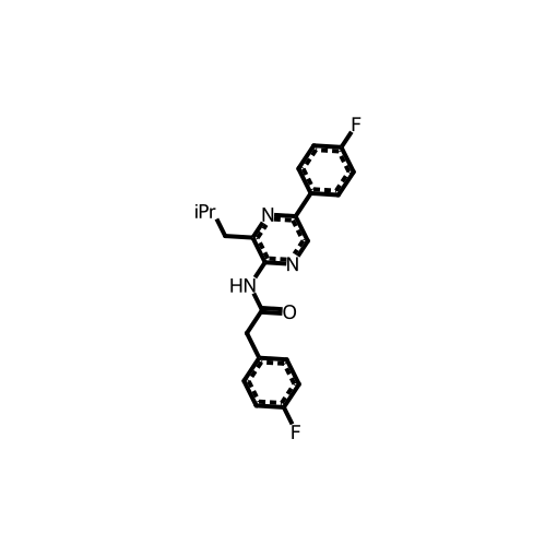 CC(C)Cc1nc(-c2ccc(F)cc2)cnc1NC(=O)Cc1ccc(F)cc1